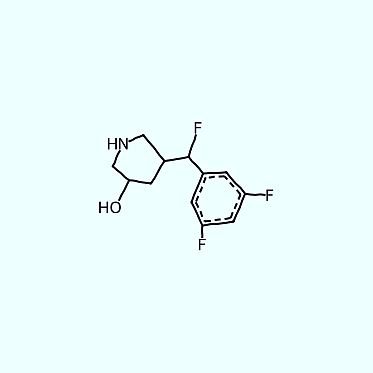 OC1CNCC(C(F)c2cc(F)cc(F)c2)C1